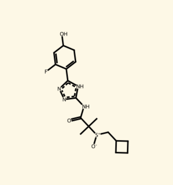 CC(C)(C(=O)Nc1nnc(C2=CCC(O)C=C2F)[nH]1)[S+]([O-])CC1CCC1